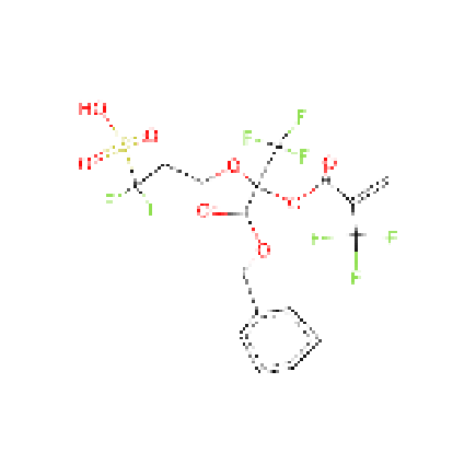 C=C(C(=O)OC(OCCC(F)(F)S(=O)(=O)O)(C(=O)OCc1ccccc1)C(F)(F)F)C(F)(F)F